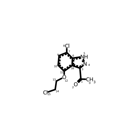 CC(=O)c1n[nH]c2c(Cl)ccc(OCCCl)c12